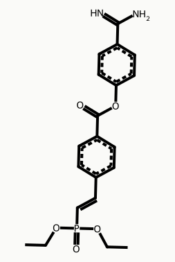 CCOP(=O)(/C=C/c1ccc(C(=O)Oc2ccc(C(=N)N)cc2)cc1)OCC